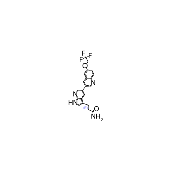 NC(=O)/C=C/c1c[nH]c2ncc(-c3cnc4ccc(OCC(F)(F)F)cc4c3)cc12